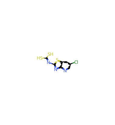 SC(S)=Nc1nc2ncc(Cl)cc2s1